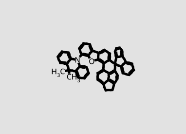 CC1(C)c2ccccc2N(c2cccc3c2oc2c4c(ccc23)C2(c3ccccc3-c3ccccc32)c2ccc3c5c(ccc-4c25)CC3)c2ccccc21